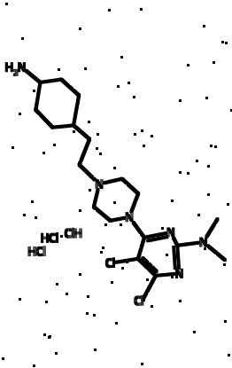 CN(C)c1nc(Cl)c(Cl)c(N2CCN(CCC3CCC(N)CC3)CC2)n1.Cl.Cl.Cl